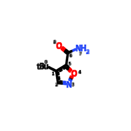 CC(C)(C)c1cnoc1C(N)=O